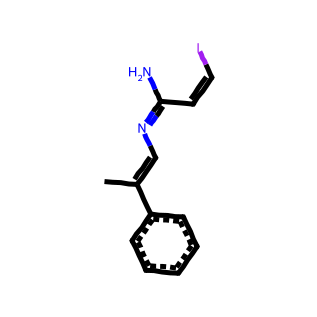 C\C(=C/N=C(N)\C=C/I)c1ccccc1